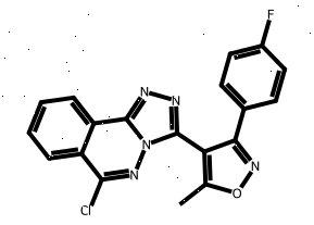 Cc1onc(-c2ccc(F)cc2)c1-c1nnc2c3ccccc3c(Cl)nn12